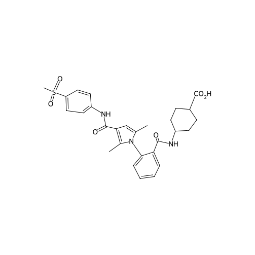 Cc1cc(C(=O)Nc2ccc(S(C)(=O)=O)cc2)c(C)n1-c1ccccc1C(=O)NC1CCC(C(=O)O)CC1